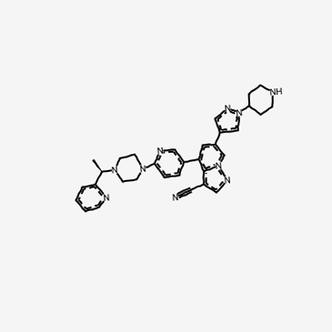 C[C@H](c1ccccn1)N1CCN(c2ccc(-c3cc(-c4cnn(C5CCNCC5)c4)cn4ncc(C#N)c34)cn2)CC1